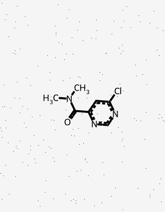 CN(C)C(=O)c1cc(Cl)ncn1